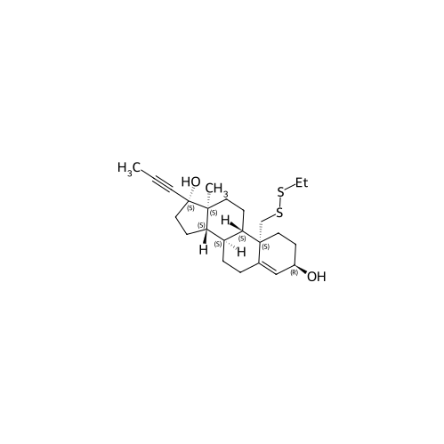 CC#C[C@]1(O)CC[C@H]2[C@@H]3CCC4=C[C@H](O)CC[C@]4(CSSCC)[C@H]3CC[C@@]21C